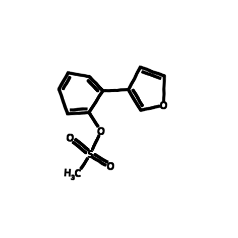 CS(=O)(=O)Oc1ccccc1-c1ccoc1